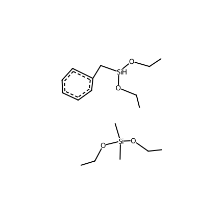 CCO[SiH](Cc1ccccc1)OCC.CCO[Si](C)(C)OCC